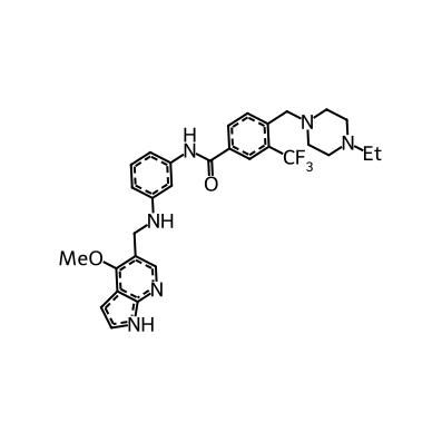 CCN1CCN(Cc2ccc(C(=O)Nc3cccc(NCc4cnc5[nH]ccc5c4OC)c3)cc2C(F)(F)F)CC1